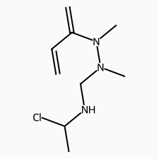 C=CC(=C)N(C)N(C)CNC(C)Cl